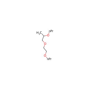 CCCOCCOCC(C)OCCC